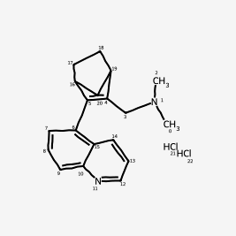 CN(C)CC1=C(c2cccc3ncccc23)C2CCC1C2.Cl.Cl